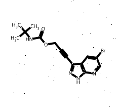 CC(C)(C)NC(=O)OCC#Cc1n[nH]c2ncc(Br)cc12